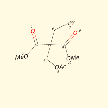 COC(=O)C(COC(C)=O)(CC(C)C)C(=O)OC